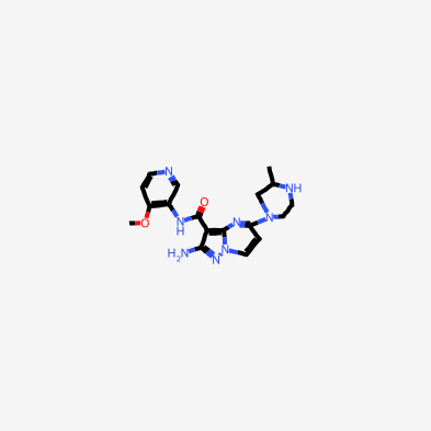 COc1ccncc1NC(=O)c1c(N)nn2ccc(N3CCNC(C)C3)nc12